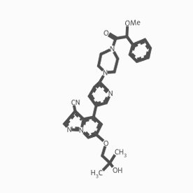 COC(C(=O)N1CCN(c2ccc(-c3cc(OCC(C)(C)O)cn4ncc(C#N)c34)cn2)CC1)c1ccccc1